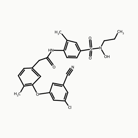 CCCN(O)S(=O)(=O)c1ccc(NC(=O)Cc2ccc(C)c(Oc3cc(Cl)cc(C#N)c3)c2)c(C)c1